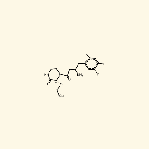 CC(C)(C)CO[C@@H]1C(=O)NCCN1C(=O)CC(N)Cc1cc(F)c(F)cc1F